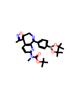 Cc1noc2c1-c1ccc(N(C)C(=O)OC(C)(C)C)nc1C(c1ccc(B3OC(C)(C)C(C)(C)O3)cc1)=NC2